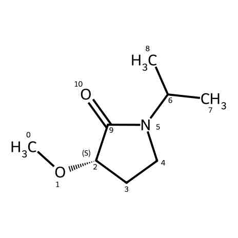 CO[C@H]1CCN(C(C)C)C1=O